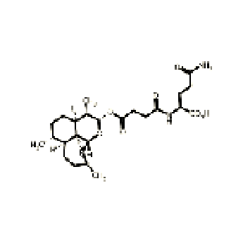 C[C@H]1[C@H](OC(=O)CCC(=O)NC(CCC(N)=O)C(=O)O)O[C@@H]2O[C@@]3(C)CC[C@H]4[C@H](C)CC[C@@H]1[C@@]24OO3